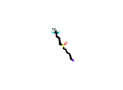 [O-][S+](CCCCCI)CCCC(F)(F)C(F)(F)F